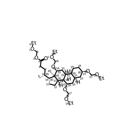 CCOCOC(=O)CC[C@@H](C)[C@H]1CC[C@H]2[C@@H]3[C@H](OCOCC)C[C@@H]4C[C@H](OCOCC)CC[C@]4(C)[C@H]3C[C@H](OCOCC)[C@]12C